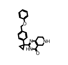 O=c1[nH]c(C2(c3ccc(COc4ccccc4)cc3)CC2)nc2c1CNCC2